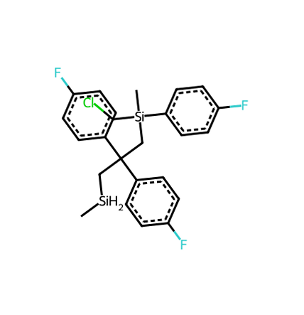 C[SiH2]CC(C[Si](C)(CCl)c1ccc(F)cc1)(c1ccc(F)cc1)c1ccc(F)cc1